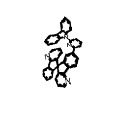 c1cc(-c2ccc3c(c2)C2(c4ccccc4-c4ncccc42)c2cccnc2-3)nc(-n2c3ccccc3c3ccccc32)c1